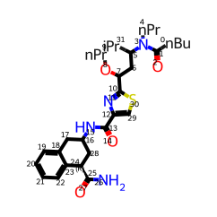 CCCCC(=O)N(CCC)C(CC(OCCC)c1nc(C(=O)NC2Cc3ccccc3[C@H](C(N)=O)C2)cs1)C(C)C